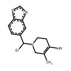 CCCC1=C(C)CN(C(CC)c2ccc3scnc3c2)CC1